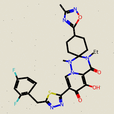 CCN1C(=O)c2c(O)c(=O)c(-c3nnc(Cc4ccc(F)cc4F)s3)cn2N(C)C12CCC(c1nc(C)no1)CC2